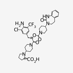 Nc1c(Cl)cc(C[C@@H](OC(=O)N2CCC(N3CCc4ccccc4NC3=O)CC2)C(=O)N2CCC(N3CCC[C@@H]3C(=O)O)CC2)cc1C(F)(F)F